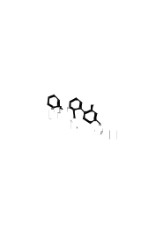 COCc1ccc(-c2cccc(Oc3ccccc3Br)c2C#N)c(F)c1